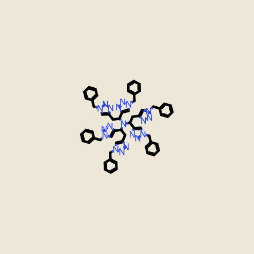 c1ccc(Cn2cc(CC(c3cn(Cc4ccccc4)nn3)N(C(Cc3cn(Cc4ccccc4)nn3)c3cn(Cc4ccccc4)nn3)C(Cc3cn(Cc4ccccc4)nn3)c3cn(Cc4ccccc4)nn3)nn2)cc1